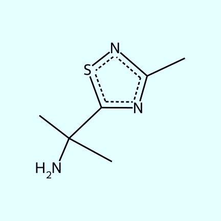 Cc1nsc(C(C)(C)N)n1